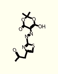 CC(=O)Cc1csc(N=NC2=C(O)OC(C)(C)OC2=O)n1